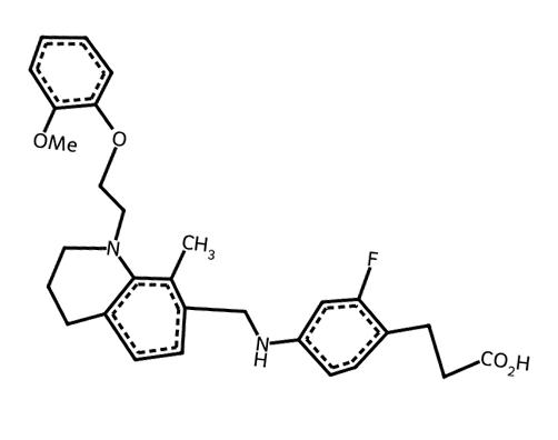 COc1ccccc1OCCN1CCCc2ccc(CNc3ccc(CCC(=O)O)c(F)c3)c(C)c21